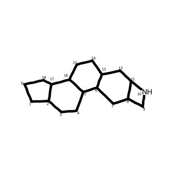 C1CC2CCC3C4CC5CNC5CC4CCC3C2C1